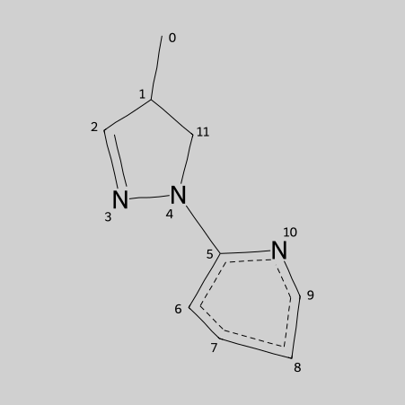 CC1C=NN(c2ccccn2)C1